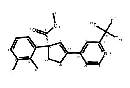 COC(=O)[C@]1(c2cccc(F)c2C)C=C(c2ccnc(C(F)(F)F)c2)CC1